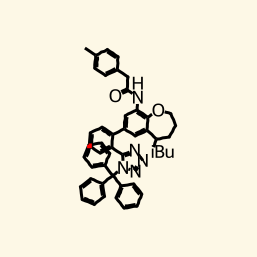 CCC(C)C1CCCOc2c(NC(=O)Cc3ccc(C)cc3)cc(-c3ccccc3-c3nnnn3C(c3ccccc3)(c3ccccc3)c3ccccc3)cc21